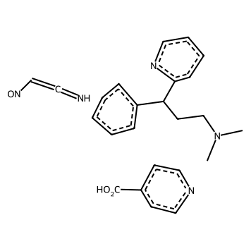 CN(C)CCC(c1ccccc1)c1ccccn1.N=C=CN=O.O=C(O)c1ccncc1